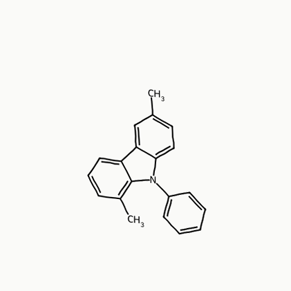 Cc1ccc2c(c1)c1cccc(C)c1n2-c1ccccc1